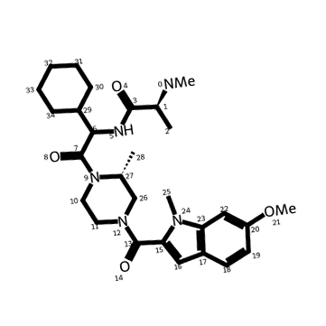 CN[C@@H](C)C(=O)NC(C(=O)N1CCN(C(=O)c2cc3ccc(OC)cc3n2C)C[C@H]1C)C1CCCCC1